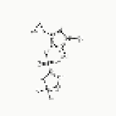 CCn1nc(C2CC2)c(CS(=O)(=O)C2=NOC(C)(C)C2)c1Cl